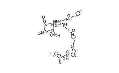 CC1(F)C[C@H](C#N)N(C(=O)CNC(=O)c2ccnc3ccc(OCCCC4CCN(C(=O)CCCCCNC(=O)C(CCCNC(=O)CCCc5ccc(I)cc5)NC(=O)CN5CCN(COC=O)CCN(COC=O)CCN(CC(=O)O)CC5)CC4)cc23)C1